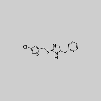 Clc1csc(CSC2=NCC(Cc3ccccc3)N2)c1